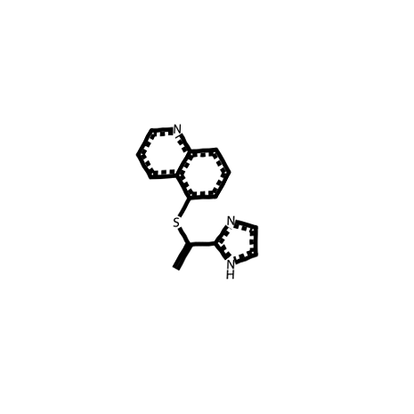 C=C(Sc1cccc2ncccc12)c1ncc[nH]1